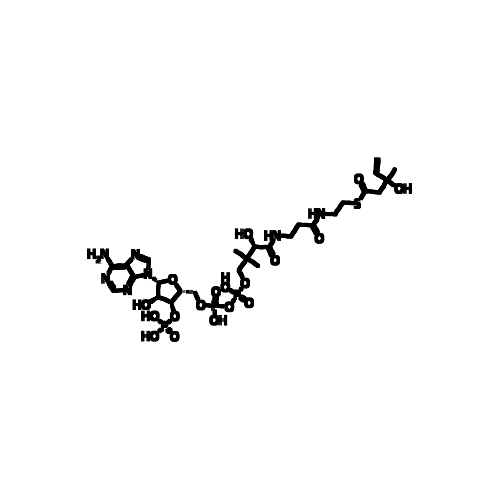 C=CC(C)(O)CC(=O)SCCNC(=O)CCNC(=O)[C@H](O)C(C)(C)COP(=O)(O)OP(=O)(O)OC[C@H]1O[C@@H](n2cnc3c(N)ncnc32)[C@H](O)[C@@H]1OP(=O)(O)O